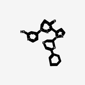 O=c1ccn(-c2ccnc(O)c2)nc1-c1ccnn1C1=COC=C(C2=CC=CCC2)O1